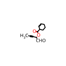 CC#CC(C=O)OC(=O)C1C=CCCC1